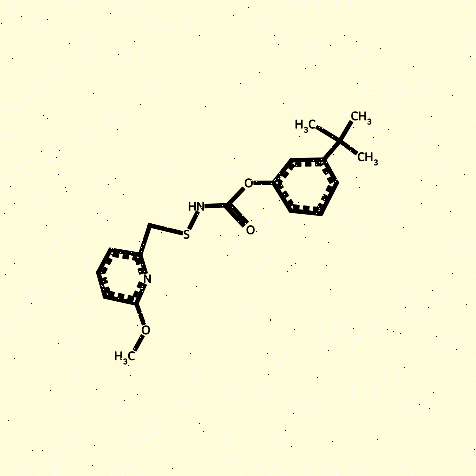 COc1cccc(CSNC(=O)Oc2cccc(C(C)(C)C)c2)n1